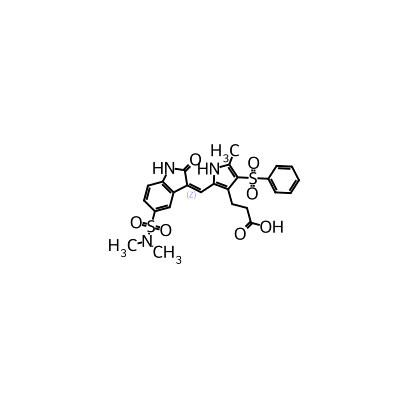 Cc1[nH]c(/C=C2\C(=O)Nc3ccc(S(=O)(=O)N(C)C)cc32)c(CCC(=O)O)c1S(=O)(=O)c1ccccc1